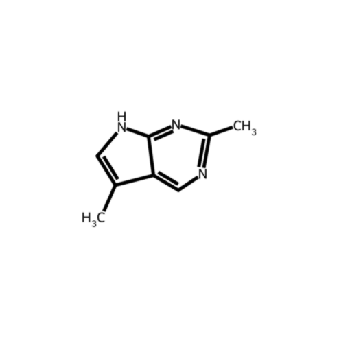 Cc1ncc2c(C)c[nH]c2n1